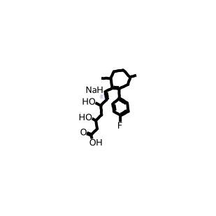 CC1CCC(C)C(/C=C/C(O)CC(O)CC(=O)O)=C(c2ccc(F)cc2)C1.[NaH]